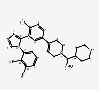 Nc1ncc(C2=CCN(C(C=O)C3CCOCC3)CC2)cc1-c1nnnn1-c1cccc(F)c1F